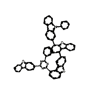 c1ccc(-c2nc(-c3ccc4c(c3)oc3ccccc34)nc(-c3cccc4sc5ccc(-c6ccc(-c7ccc8c9ccccc9n(-c9ccccc9)c8c7)c7oc8ccccc8c67)cc5c34)n2)cc1